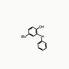 CC(C)(C)c1ccc(O)c([Se]c2ccccc2)c1